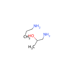 CC(O)CN.CCCN